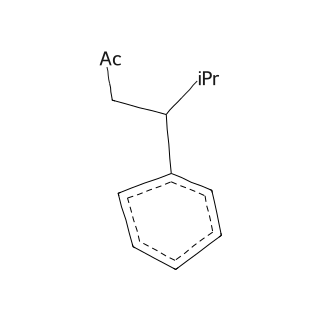 CC(=O)CC(c1ccccc1)C(C)C